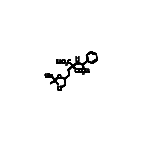 CCOC(=O)C(CCC(CCl)O[Si](C)(C)C(C)(C)C)(NC(=O)c1ccccc1)C(=O)OCC